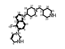 Fc1c(N2C=CCNC2)ccc2c1ccn2C1CCN(CC2CCNCC2)CC1